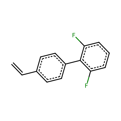 C=Cc1ccc(-c2c(F)cccc2F)cc1